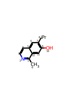 Cc1nccc2cc(C(C)C)c(O)cc12